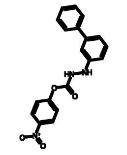 O=C(NNc1cccc(-c2ccccc2)c1)Oc1ccc([N+](=O)[O-])cc1